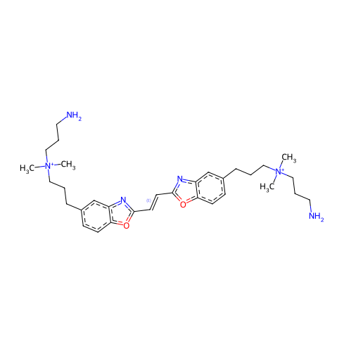 C[N+](C)(CCCN)CCCc1ccc2oc(/C=C/c3nc4cc(CCC[N+](C)(C)CCCN)ccc4o3)nc2c1